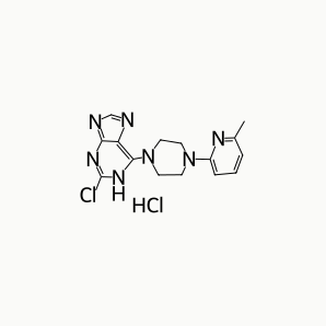 Cc1cccc(N2CCN(c3[nH]c(Cl)nc4ncnc3-4)CC2)n1.Cl